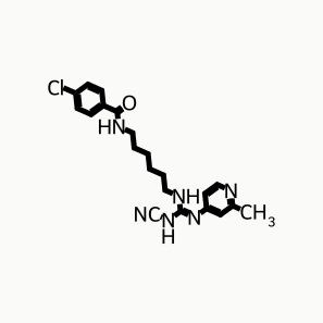 Cc1cc(/N=C(/NC#N)NCCCCCCNC(=O)c2ccc(Cl)cc2)ccn1